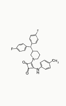 Cc1ccc(Nc2c(N3CCCC(C(c4ccc(F)cc4)c4ccc(F)cc4)C3)c(=O)c2=O)cc1